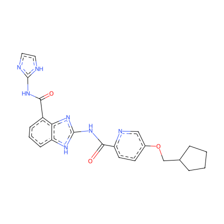 O=C(Nc1nc2c(C(=O)Nc3ncc[nH]3)cccc2[nH]1)c1ccc(OCC2CCCC2)cn1